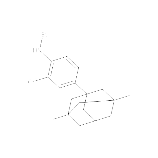 CCNc1ccc(C23CC4CC(C)(CC(C)(C4)C2)C3)cc1Cl